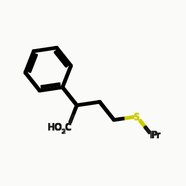 CC(C)SCCC(C(=O)O)c1ccccc1